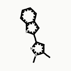 Cc1[c]c(-c2cc3ccccc3s2)nn1C